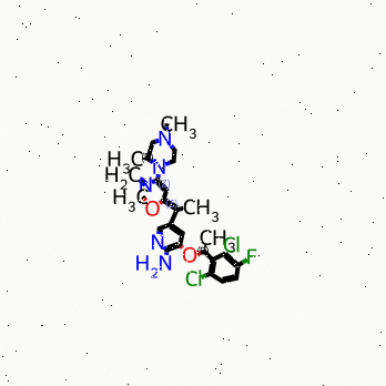 C=N/C(=C\C(OC)=C(/C)c1cnc(N)c(O[C@H](C)c2c(Cl)ccc(F)c2Cl)c1)N1CCN(C)C[C@H]1C